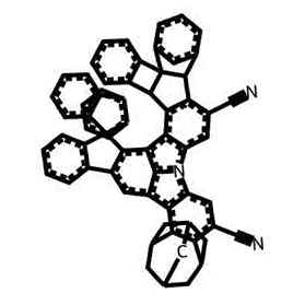 N#Cc1cc2c(c3c1C1CC4CC(C1)CC3C4)c1cc3c(c4c5c6c(c(C#N)cc5n2c14)C1c2cccc(c2)C12c1ccccc1C62)C1(c2ccccc2-c2ccccc21)c1ccccc1-3